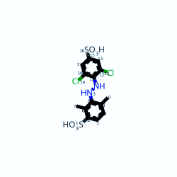 Cc1ccc(S(=O)(=O)O)c(C)c1NNc1c(Cl)cc(S(=O)(=O)O)cc1Cl